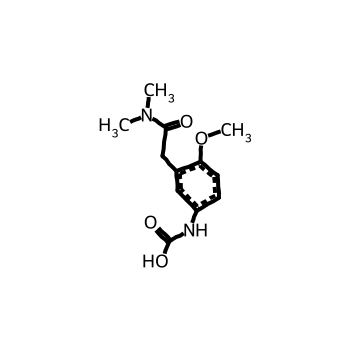 COc1ccc(NC(=O)O)cc1CC(=O)N(C)C